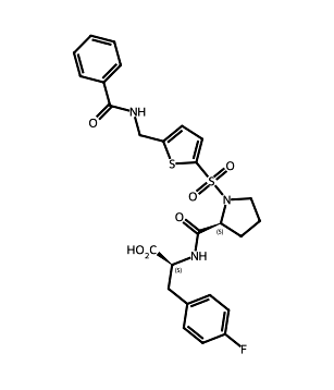 O=C(NCc1ccc(S(=O)(=O)N2CCC[C@H]2C(=O)N[C@@H](Cc2ccc(F)cc2)C(=O)O)s1)c1ccccc1